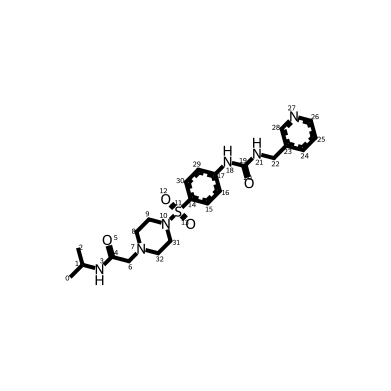 CC(C)NC(=O)CN1CCN(S(=O)(=O)c2ccc(NC(=O)NCc3cccnc3)cc2)CC1